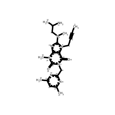 CC#CCn1c(N(C)CC(C)N)nc2c1c(=O)n(Cc1nc(C)cc(C)n1)c(=O)n2C